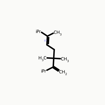 C=C(C(C)C)C(C)(C)C/C=C(\C)C(C)C